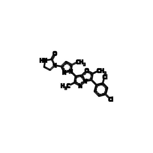 Cc1nn2c(-c3ccc(Cl)cc3Cl)c(C)oc2c1-n1nc(N2CCNC2=O)cc1C